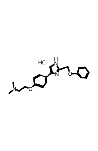 CN(C)CCOc1ccc(-c2c[nH]c(COc3ccccc3)n2)cc1.Cl